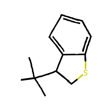 CC(C)(C)C1CSc2ccccc21